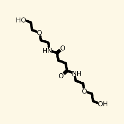 O=C(CCC(=O)NCCOCCO)NCCOCCO